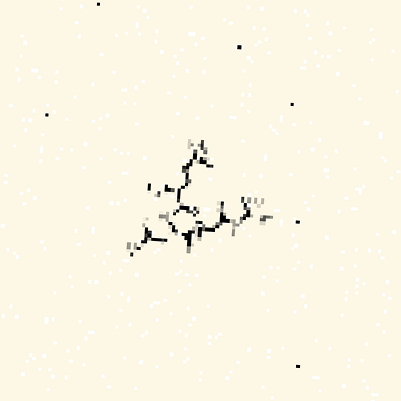 CC(C)[C@H](NC(=O)CNC(=O)[C@H](CC(N)=O)NC(=O)[C@@H](N)CCC(N)=O)C(=O)O